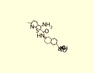 Cc1ccc2c(N)c(C(=O)N[C@H]3CCc4cc(N5CC6CNCC5CO6)ccc4C3)sc2n1